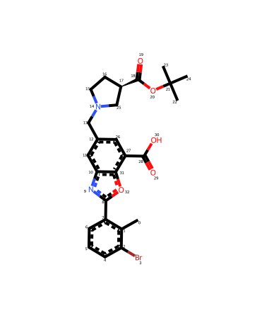 Cc1c(Br)cccc1-c1nc2cc(CN3CC[C@@H](C(=O)OC(C)(C)C)C3)cc(C(=O)O)c2o1